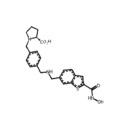 O=C(NO)c1cc2ccc(CNCc3ccc(CN4CCC[C@H]4C(=O)O)cc3)cc2s1